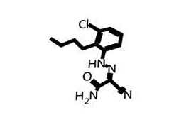 CCCCc1c(Cl)cccc1NN=C(C#N)C(N)=O